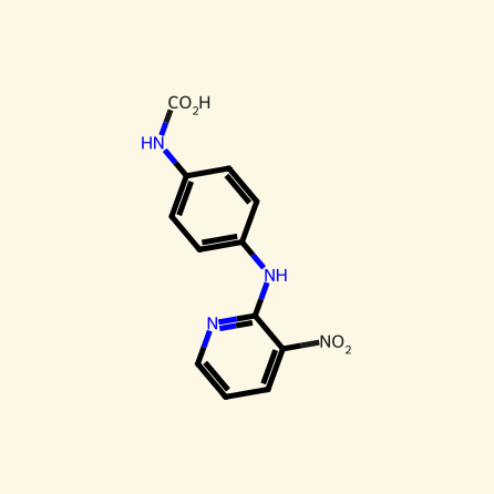 O=C(O)Nc1ccc(Nc2ncccc2[N+](=O)[O-])cc1